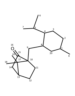 CC1CCC(C(C)C)C(CC23CCC(CC2=O)C3(C)C)C1